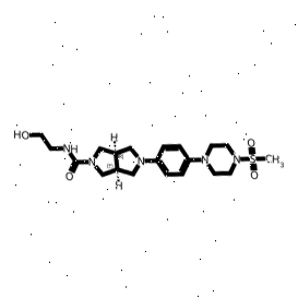 CS(=O)(=O)N1CCN(c2ccc(N3C[C@H]4CN(C(=O)NCCO)C[C@H]4C3)cc2)CC1